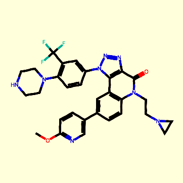 COc1ccc(-c2ccc3c(c2)c2c(nnn2-c2ccc(N4CCNCC4)c(C(F)(F)F)c2)c(=O)n3CCN2CC2)cn1